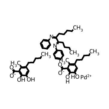 CCCCCC(=Nc1ccccc1)C(CCCC)=Nc1ccccc1.CCCCCc1cc(O)c(O)c(C(=O)[O-])c1C.CCCCCc1cc(O)c(O)c(C(=O)[O-])c1C.[Pd+2]